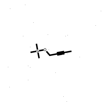 CC#CCO[Si](C)(C)C